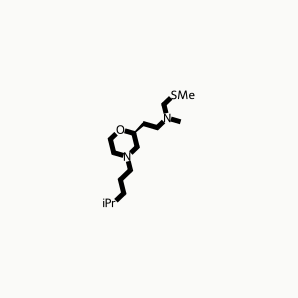 CSCN(C)CC[C@H]1CN(CCCC(C)C)CCO1